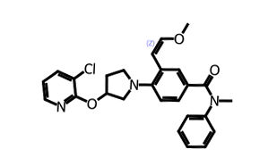 CO/C=C\c1cc(C(=O)N(C)c2ccccc2)ccc1N1CCC(Oc2ncccc2Cl)C1